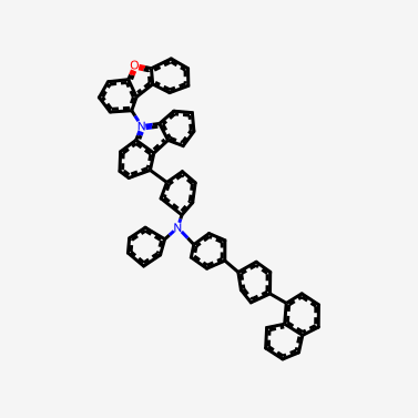 c1ccc(N(c2ccc(-c3ccc(-c4cccc5ccccc45)cc3)cc2)c2cccc(-c3cccc4c3c3ccccc3n4-c3cccc4oc5ccccc5c34)c2)cc1